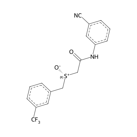 N#Cc1cccc(NC(=O)C[S@@+]([O-])Cc2cccc(C(F)(F)F)c2)c1